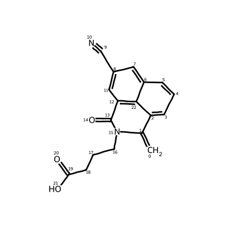 C=c1c2cccc3cc(C#N)cc(c(=O)n1CCCC(=O)O)c32